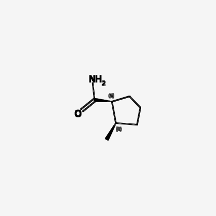 C[C@@H]1CCC[C@@H]1C(N)=O